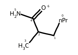 [CH2]CCCC(C)C(N)=O